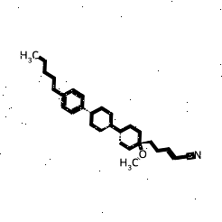 CCCCCc1ccc([C@H]2CC[C@H]([C@H]3CC[C@@](CCC=CC#N)(OC)CC3)CC2)cc1